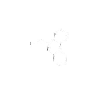 C=Cc1[c]c2ccccc2c2ccccc12